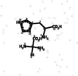 CCC(N)(N)C(=O)O.NC(Cc1c[nH]cn1)C(=O)O